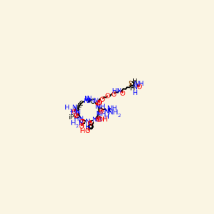 CC(C)C[C@@H]1NC(=O)[C@H](CC(N)=O)NC(=O)[C@H](Cc2ccc(O)cc2)NC(=O)[C@H](CO)NC(=O)[C@H](CCCNC(=N)N)NC(=O)[C@@H](NC(=O)COCCOCCOCCNC(=O)CCCCC2SC[C@@H]3NC(=O)N[C@H]23)Cc2cn(nn2)CCCC[C@@H](C(N)=O)NC1=O